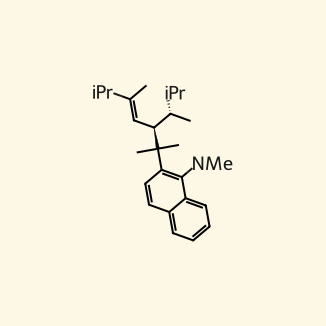 CNc1c(C(C)(C)[C@@H](/C=C(\C)C(C)C)[C@@H](C)C(C)C)ccc2ccccc12